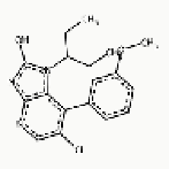 CCC(CC)n1c(O)nc2ncc(Cl)c(-c3cccc(OC)c3)c21